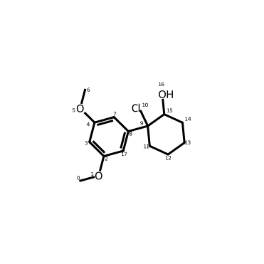 COc1cc(OC)cc(C2(Cl)CCCCC2O)c1